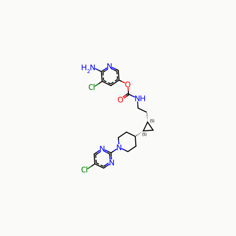 Nc1ncc(OC(=O)NCC[C@@H]2C[C@@H]2C2CCN(c3ncc(Cl)cn3)CC2)cc1Cl